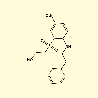 O=[N+]([O-])c1ccc(NCCc2ccccc2)c(S(=O)(=O)CCO)c1